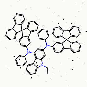 CCn1c2ccccc2c2c(N(c3ccccc3)c3ccc4c(c3)-c3ccccc3C43c4ccccc4-c4ccccc43)cc(N(c3ccccc3)c3ccc4c(c3)C3(c5ccccc5-c5ccccc53)c3ccccc3-4)cc21